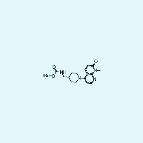 Cn1c(=O)ccc2c(N3CCC(CNC(=O)OC(C)(C)C)CC3)ccnc21